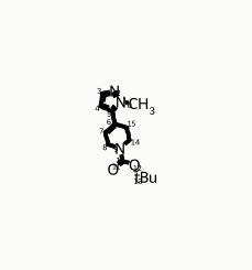 Cn1nccc1C1=CCN(C(=O)OC(C)(C)C)CC1